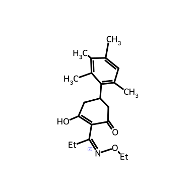 CCO/N=C(/CC)C1=C(O)CC(c2c(C)cc(C)c(C)c2C)CC1=O